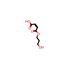 O=C(O)/C=C\C(=O)OCCCO